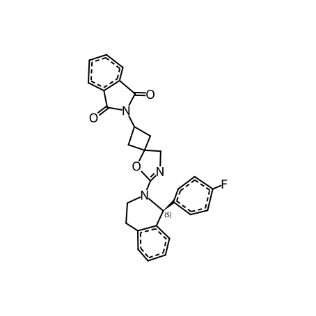 O=C1c2ccccc2C(=O)N1C1CC2(CN=C(N3CCc4ccccc4[C@@H]3c3ccc(F)cc3)O2)C1